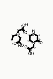 CCN(CC(=O)O)CC(=O)O.O=C(O)CN1CCNCC1=O